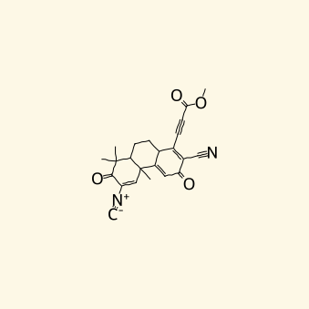 [C-]#[N+]C1=CC2(C)C3=CC(=O)C(C#N)=C(C#CC(=O)OC)C3CCC2C(C)(C)C1=O